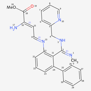 C/N=C(/NCc1ccccn1)c1c(/N=C/C=C(\N)C(=O)OC)cccc1-c1ccccc1